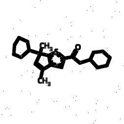 CC1=CC(C)(C2CCCCC2)c2sc(C(=O)CC3CCCCC3)cc21